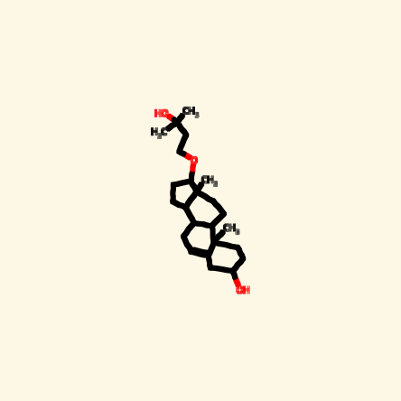 CC(C)(O)CCOC1CCC2C3CC=C4CC(O)CCC4(C)C3CCC12C